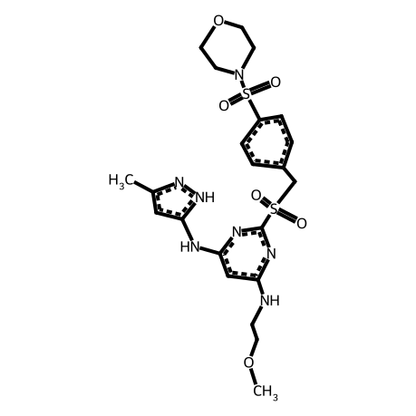 COCCNc1cc(Nc2cc(C)n[nH]2)nc(S(=O)(=O)Cc2ccc(S(=O)(=O)N3CCOCC3)cc2)n1